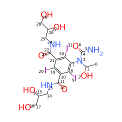 CC(O)N(C(N)=O)c1c(I)c(C(=O)NCC(O)CO)c(I)c(C(=O)NCC(O)CO)c1I